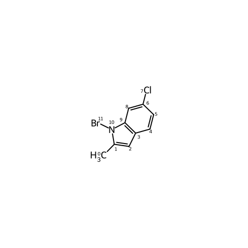 Cc1cc2ccc(Cl)cc2n1Br